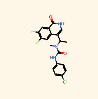 CC(c1c[nH]c(=O)c2cc(F)c(F)cc12)N(C)C(=O)Nc1ccc(Cl)cc1